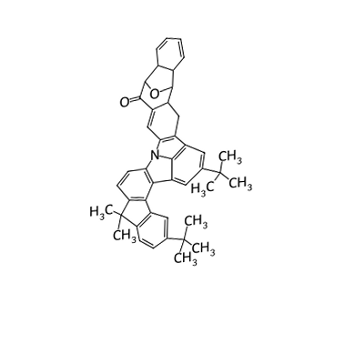 CC(C)(C)c1ccc2c(c1)-c1c(ccc3c1c1cc(C(C)(C)C)cc4c5c(n3c41)C=C1C(=O)C3OC(C1C5)C1C=CC=CC31)C2(C)C